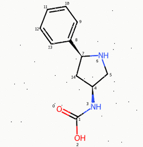 O=C(O)N[C@@H]1CN[C@H](c2ccccc2)C1